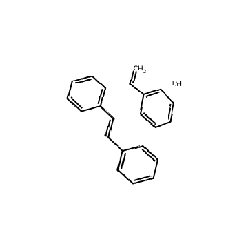 C(=Cc1ccccc1)c1ccccc1.C=Cc1ccccc1.[LiH]